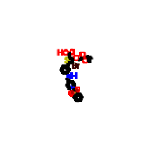 CC(C)(C)OC(=O)COc1c(C(=O)O)sc(-c2cccc(NCC3CCN(S(=O)(=O)c4ccccc4)CC3)c2)c1Br